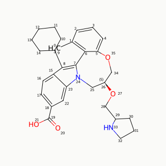 Cc1cccc2c1-c1c(C3CCCCC3)c3ccc(C(=O)O)cc3n1C[C@H](OCC1CCCN1)CO2